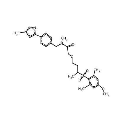 COc1cc(C)c(S(=O)(=O)C(C)CCOCC(=O)N(C)Cc2ccc(-c3cn(C)cn3)cc2)c(C)c1